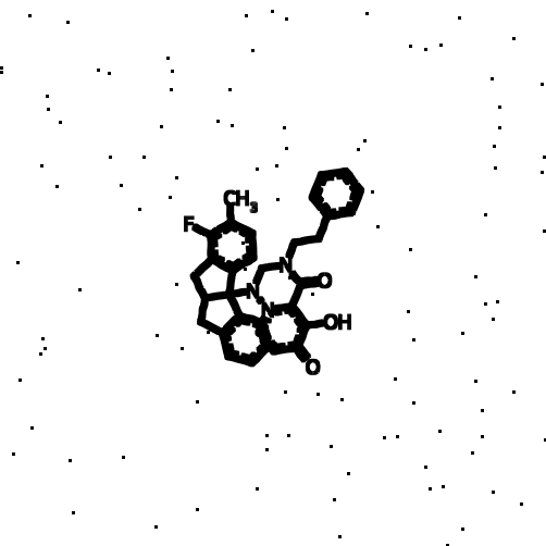 Cc1ccc2c(c1F)CC1Cc3ccccc3C21N1CN(CCc2ccccc2)C(=O)c2c(O)c(=O)ccn21